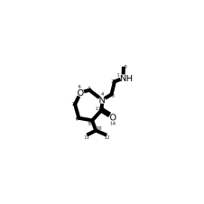 CNCCN1COCCC(C(C)C)C1=O